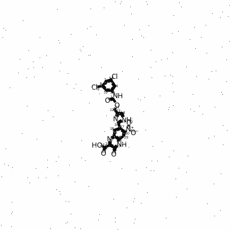 O=C(Nc1cc(Cl)cc(Cl)c1)OCc1c[nH]c(-c2cc3nc(C(=O)O)c(=O)[nH]c3cc2[N+](=O)[O-])n1